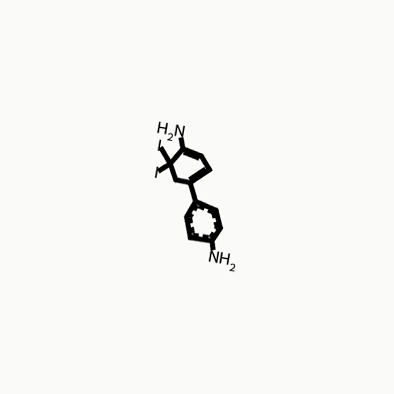 NC1=CC=C(c2ccc(N)cc2)CC1(I)I